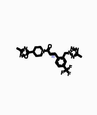 Cc1noc(C2CCN(C(=O)/C=C/c3ccc(C(F)(F)F)cc3Cn3nnc(C)n3)CC2)n1